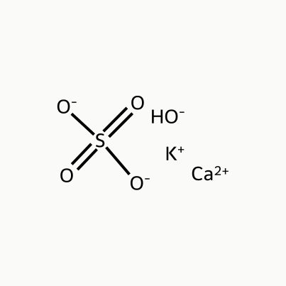 O=S(=O)([O-])[O-].[Ca+2].[K+].[OH-]